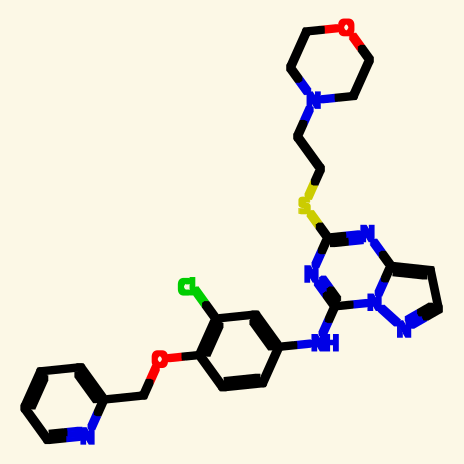 Clc1cc(Nc2nc(SCCN3CCOCC3)nc3ccnn23)ccc1OCc1ccccn1